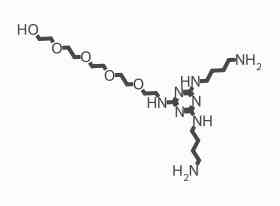 NCCCCNc1nc(NCCCCN)nc(NCCOCCOCCOCCOCCO)n1